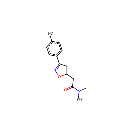 CCCN(C)C(=O)CC1CC(c2ccc(N=O)cc2)=NO1